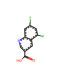 O=C(O)c1cnc2cc(F)cc(F)c2c1